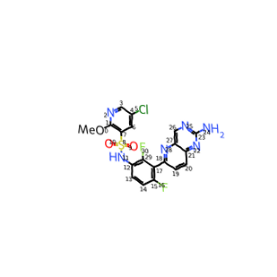 COc1ncc(Cl)cc1S(=O)(=O)Nc1ccc(F)c(-c2ccc3nc(N)ncc3n2)c1F